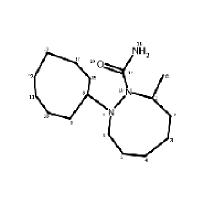 CC1CCCCCN(C2CCCCCCC2)N1C(N)=O